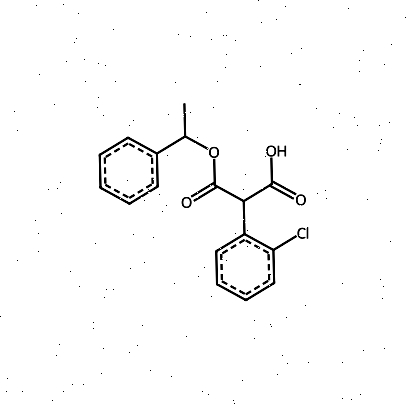 CC(OC(=O)C(C(=O)O)c1ccccc1Cl)c1ccccc1